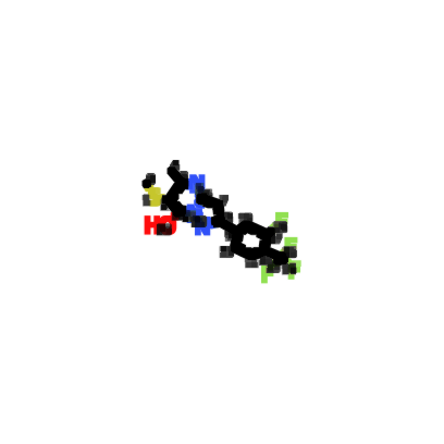 CSc1c(C)nc2cc(-c3ccc(C(F)(F)F)c(F)c3)nn2c1O